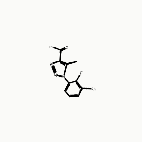 Cc1c(C(=O)C(C)C)nnn1-c1cccc(Cl)c1F